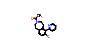 O=C(N1CCc2ccc(Cl)c(-c3ccccn3)c2CC1)C(F)(F)F